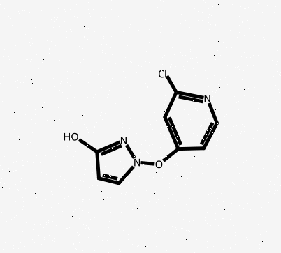 Oc1ccn(Oc2ccnc(Cl)c2)n1